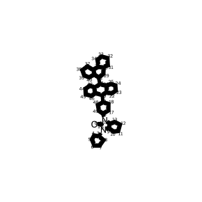 O=c1n(-c2ccccc2)c2ccccc2n1-c1ccc(-c2c3ccccc3c(-c3cc4ccccc4c4ccccc34)c3ccccc23)cc1